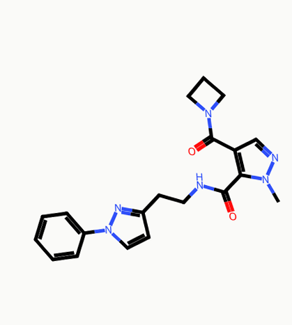 Cn1ncc(C(=O)N2CCC2)c1C(=O)NCCc1ccn(-c2ccccc2)n1